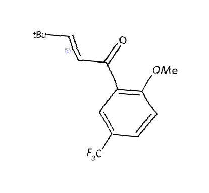 COc1ccc(C(F)(F)F)cc1C(=O)/C=C/C(C)(C)C